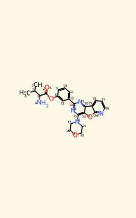 CC(C)C(N)C(=O)Oc1cccc(-c2nc(N3CCOCC3)c3oc4ncccc4c3n2)c1